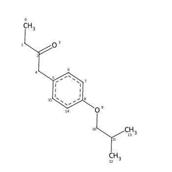 CCC(=O)Cc1ccc(OCC(C)C)cc1